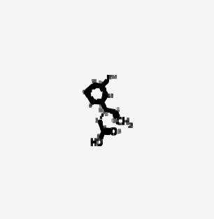 C=C[C@H](CC(=O)O)c1cccc(F)c1